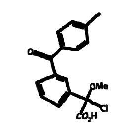 COC(Cl)(C(=O)O)c1cccc(C(=O)c2ccc(C)cc2)c1